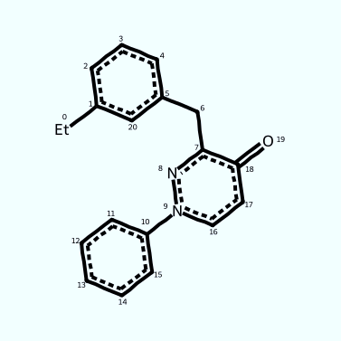 CCc1cccc(Cc2nn(-c3ccccc3)ccc2=O)c1